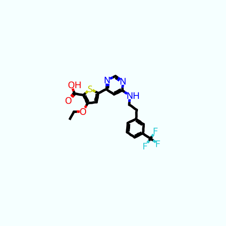 CCOc1cc(-c2cc(NCCc3cccc(C(F)(F)F)c3)ncn2)sc1C(=O)O